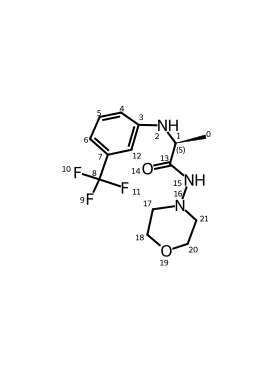 C[C@H](Nc1cccc(C(F)(F)F)c1)C(=O)NN1CCOCC1